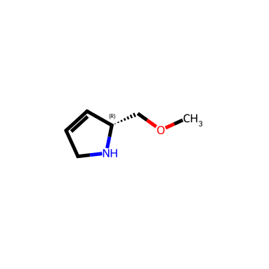 COC[C@H]1C=CCN1